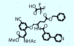 COC(=O)C(=Cc1ccc(C#N)cc1OC[C@@H](CCC(=O)OCc1ccccc1)NC(=O)c1cccc(-c2ccncc2)c1)NC(C)=O.O=C(O)C(F)(F)F